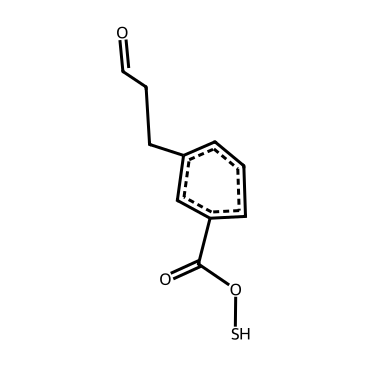 O=CCCc1cccc(C(=O)OS)c1